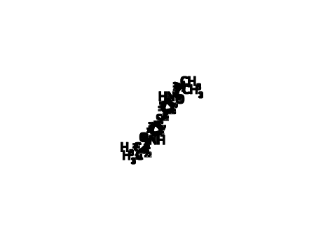 CC1(C)CC1C(=O)Nc1ccc(CSc2ccc(NC(=O)C3CC3(C)C)cc2)cc1